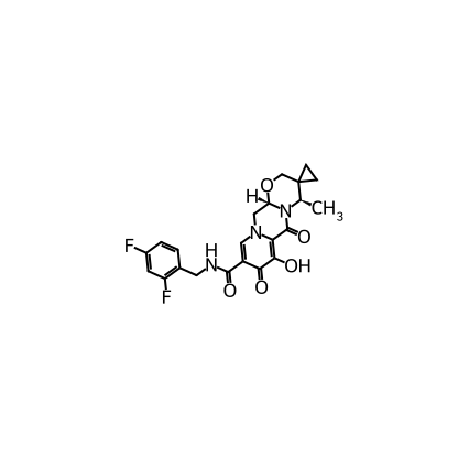 C[C@H]1N2C(=O)c3c(O)c(=O)c(C(=O)NCc4ccc(F)cc4F)cn3C[C@@H]2OCC12CC2